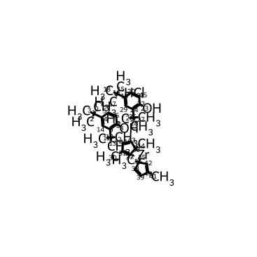 CC(C)(C)c1ccc(O)c(C(C)(C)C)c1.CC(C)(C)c1ccc(O)c(C(C)(C)C)c1.CC1=C[C](C)([Zr][C]2(C)C=CC(C)=C2)C=C1.Cl